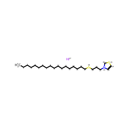 CCCCCCCCCCCCCCCCCCSCCCN1C=CSC1.I